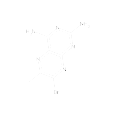 Cc1nc2c(N)nc(N)nc2nc1Br